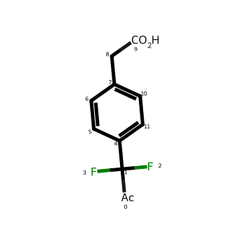 CC(=O)C(F)(F)c1ccc(CC(=O)O)cc1